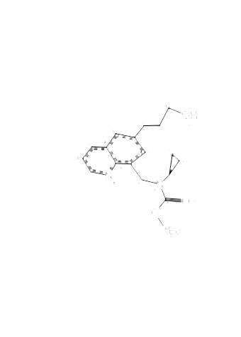 CC(C)(C)OC(=O)N(Cc1cc(CCCO)cc2cccnc12)C1CC1